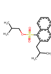 CC(C)COS(=O)(=O)c1c(CC(C)C)ccc2ccccc12